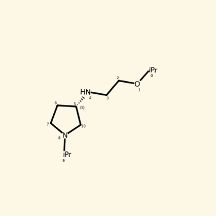 CC(C)OCCN[C@H]1CCN(C(C)C)C1